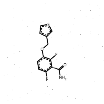 NC(=O)c1c(F)ccc(OCc2ccsc2)c1F